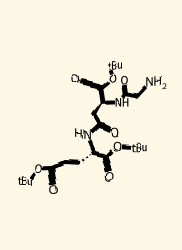 CC(C)(C)OC(=O)CC[C@H](NC(=O)C[C@H](NC(=O)CN)C(=O)OC(C)(C)C)C(=O)OC(C)(C)C